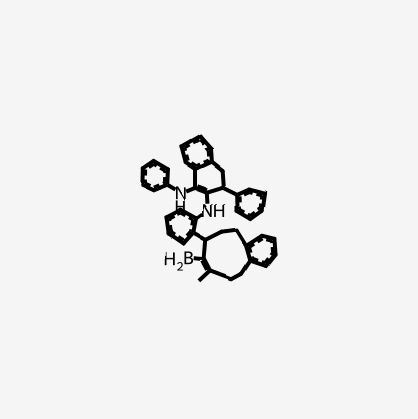 B/C1=C(\C)CCc2ccccc2CCC1c1ccccc1NC1=C(Nc2ccccc2)c2ccccc2CC1c1ccccc1